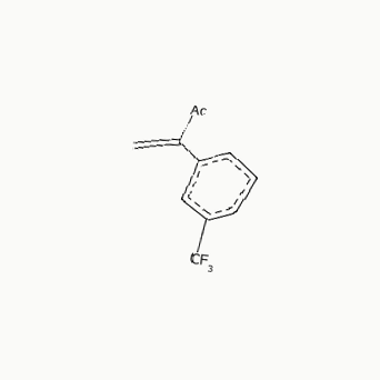 C=C(C(C)=O)c1cccc(C(F)(F)F)c1